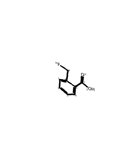 O=C(O)c1ccccc1CF